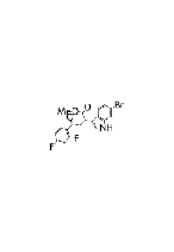 COC(=O)C(CC(=O)c1ccc(F)cc1F)c1c[nH]c2cc(Br)ccc12